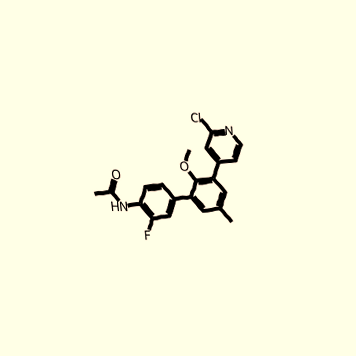 COc1c(-c2ccnc(Cl)c2)cc(C)cc1-c1ccc(NC(C)=O)c(F)c1